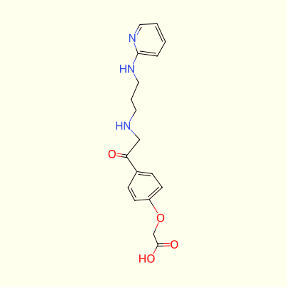 O=C(O)COc1ccc(C(=O)CNCCCNc2ccccn2)cc1